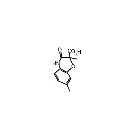 Cc1ccc2c(c1)OC(C)(C(=O)O)C(=O)N2